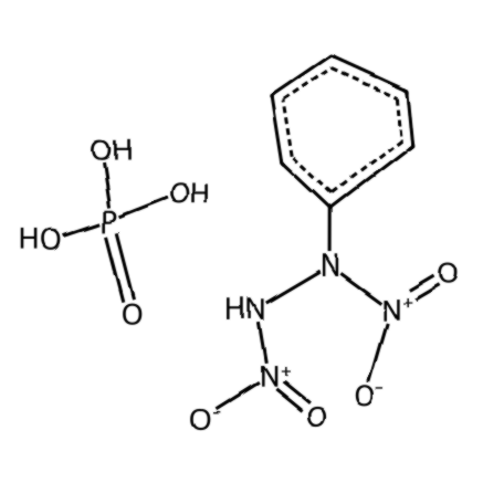 O=P(O)(O)O.O=[N+]([O-])NN(c1ccccc1)[N+](=O)[O-]